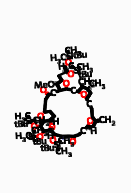 C=C1C[C@@H]2CCC(=O)/C=C/C(O[Si](C)(C)C(C)(C)C)[C@@H]3O[C@H]4CCC(CC(=O)CC5C(CC6OC(CCC1O2)C[C@@H](C)C6=C)OC(C[C@@H](CO[Si](C)(C)C(C)(C)C)O[Si](C)(C)C(C)(C)C)[C@@H]5OC)O[C@@H]4C(O[Si](C)(C)C(C)(C)C)C3O[Si](C)(C)C(C)(C)C